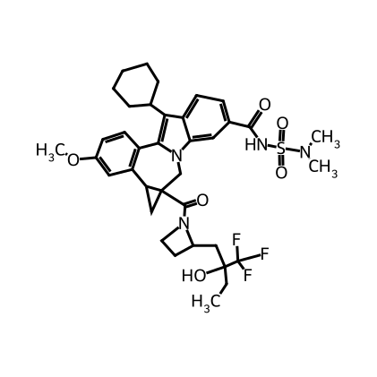 CCC(O)(CC1CCN1C(=O)C12CC1c1cc(OC)ccc1-c1c(C3CCCCC3)c3ccc(C(=O)NS(=O)(=O)N(C)C)cc3n1C2)C(F)(F)F